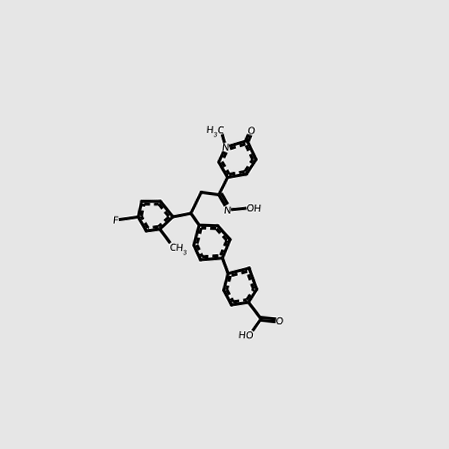 Cc1cc(F)ccc1C(CC(=NO)c1ccc(=O)n(C)c1)c1ccc(-c2ccc(C(=O)O)cc2)cc1